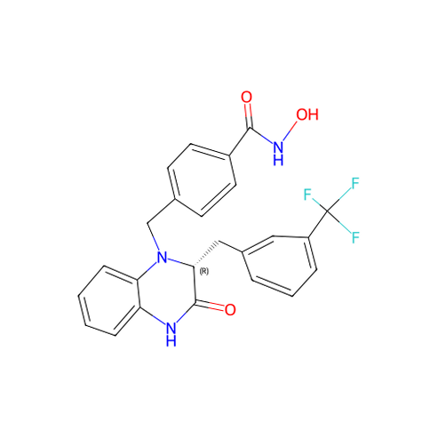 O=C(NO)c1ccc(CN2c3ccccc3NC(=O)[C@H]2Cc2cccc(C(F)(F)F)c2)cc1